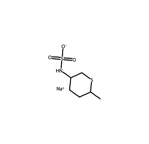 CC1CCC(NS(=O)(=O)[O-])CS1.[Na+]